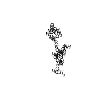 COc1cc(CN2CCN([C@H]3CCC4(CCN(c5ccc(C(=O)NS(=O)(=O)c6ccc(NCC7CCC(C)(O)CC7)c([N+](=O)[O-])c6)c(N6c7cc8cc[nH]c8nc7O[C@H]7COCC[C@@H]76)c5)CC4)C3)[C@H](c3ccccc3C(C)C)C2)cnc1N1CCOCC1